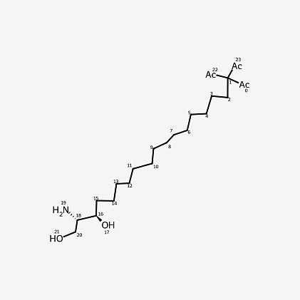 CC(=O)C(CCCCCCCCCCCCCC[C@@H](O)[C@@H](N)CO)(C(C)=O)C(C)=O